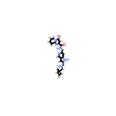 O=C(NCc1cc2[nH]c(CNCC34CC(F)C3C4)cc2cn1)c1cc(=O)n2ccccc2n1